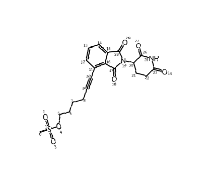 CS(=O)(=O)OCCCCC#Cc1cccc2c1C(=O)N(C1CCC(=O)NC1=O)C2=O